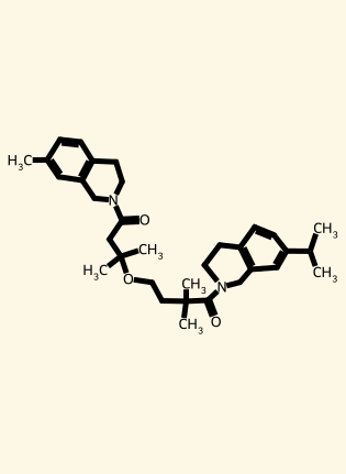 Cc1ccc2c(c1)CN(C(=O)CC(C)(C)OCCC(C)(C)C(=O)N1CCc3ccc(C(C)C)cc3C1)CC2